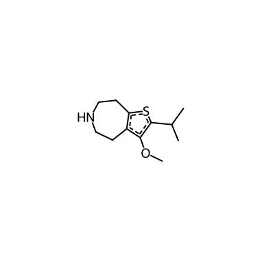 COc1c(C(C)C)sc2c1CCNCC2